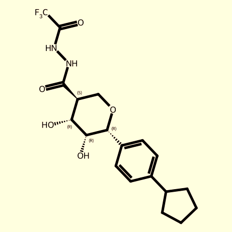 O=C(NNC(=O)C(F)(F)F)[C@H]1CO[C@H](c2ccc(C3CCCC3)cc2)[C@H](O)[C@@H]1O